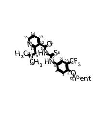 CCCCCOc1ccc(NC(=S)NC(=O)c2cccnc2CN(C)C)cc1C(F)(F)F